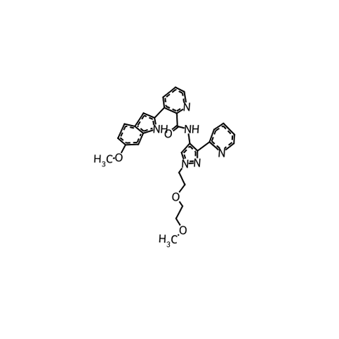 COCCOCCn1cc(NC(=O)c2ncccc2-c2cc3ccc(OC)cc3[nH]2)c(-c2ccccn2)n1